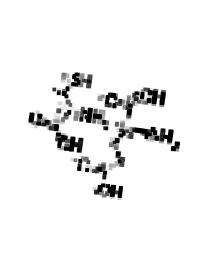 N[C@@H](CCC(=O)O)C(=O)O.N[C@@H](CS)C(=O)O